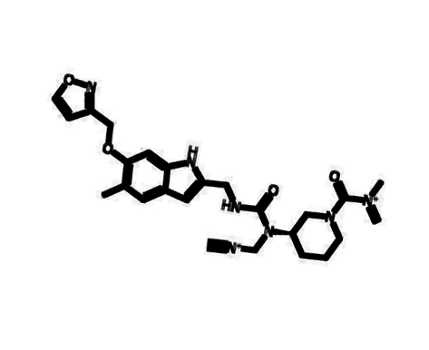 C#[N+]CN(C(=O)NCc1cc2cc(C)c(OCc3ccon3)cc2[nH]1)[C@@H]1CCCN(C(=O)[N+](=C)C)C1